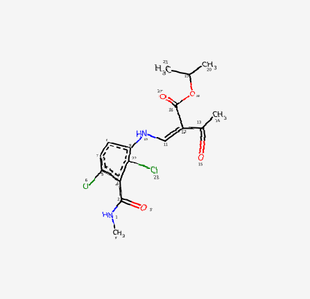 CNC(=O)c1c(Cl)ccc(NC=C(C(C)=O)C(=O)OC(C)C)c1Cl